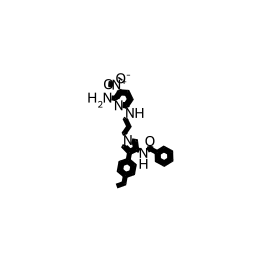 CCc1ccc(-c2cn(CCCNc3ccc([N+](=O)[O-])c(N)n3)cc2NC(=O)c2ccccc2)cc1